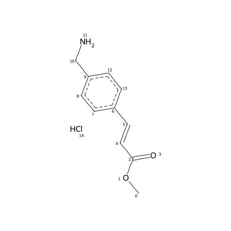 COC(=O)C=Cc1ccc(CN)cc1.Cl